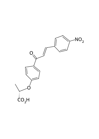 C[C@H](Oc1ccc(C(=O)/C=C/c2ccc([N+](=O)[O-])cc2)cc1)C(=O)O